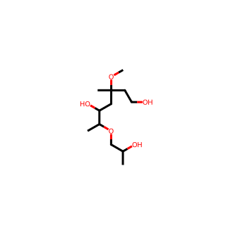 COC(C)(CCO)CC(O)C(C)OCC(C)O